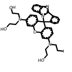 OCCN(CCO)c1ccc2c(c1)Oc1cc(N(CCO)CCI)ccc1C21c2ccccc2-c2nc3ccccc3n21